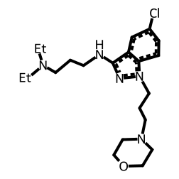 CCN(CC)CCCNc1nn(CCCN2CCOCC2)c2ccc(Cl)cc12